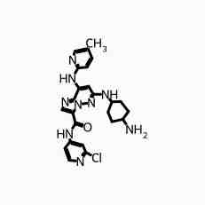 Cc1ccc(Nc2cc(NC3CCC(N)CC3)nn3c(C(=O)Nc4ccnc(Cl)c4)cnc23)nc1